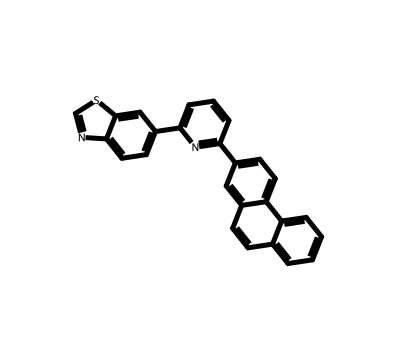 c1cc(-c2ccc3c(ccc4ccccc43)c2)nc(-c2ccc3ncsc3c2)c1